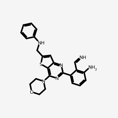 N=Cc1c(N)cccc1-c1nc(N2CCOCC2)c2sc(CNc3ccccc3)cc2n1